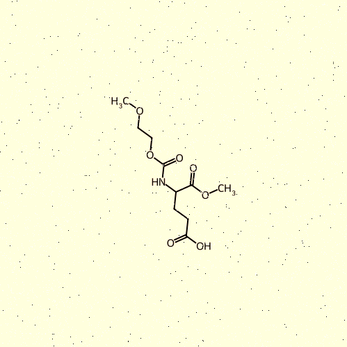 COCCOC(=O)NC(CCC(=O)O)C(=O)OC